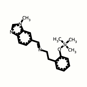 Cn1cnc2ccc(C=NCCc3ccccc3O[Si](C)(C)C)cc21